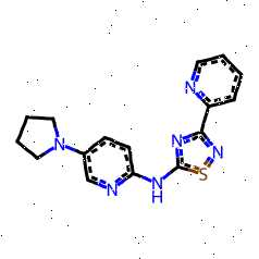 c1ccc(-c2nsc(Nc3ccc(N4CCCC4)cn3)n2)nc1